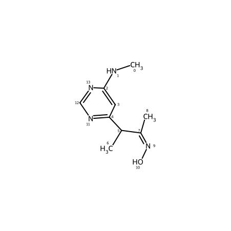 CNc1cc(C(C)/C(C)=N\O)ncn1